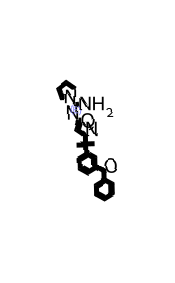 CC(C)(c1cccc(C(=O)c2ccccc2)c1)c1cc(/N=C(\N)N2CCCC2)on1